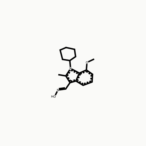 COc1cccc2c(C=NO)c(C)n(C3CCCCC3)c12